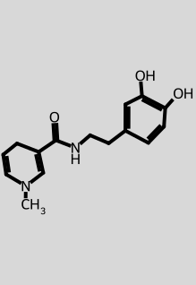 CN1C=CCC(C(=O)NCCc2ccc(O)c(O)c2)=C1